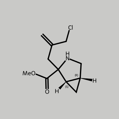 C=C(CCl)CC1(C(=O)OC)NC[C@@H]2C[C@@H]21